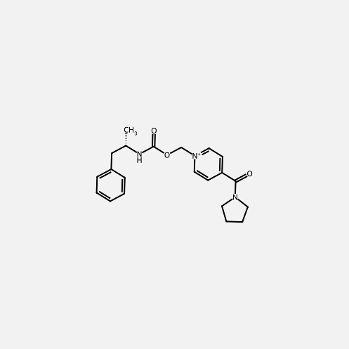 C[C@@H](Cc1ccccc1)NC(=O)OC[n+]1ccc(C(=O)N2CCCC2)cc1